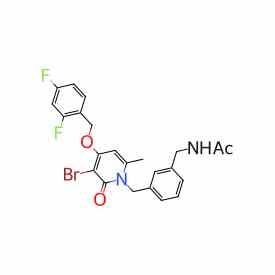 CC(=O)NCc1cccc(Cn2c(C)cc(OCc3ccc(F)cc3F)c(Br)c2=O)c1